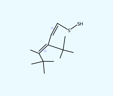 C/C(=C(\C=C/SS)C(C)(C)C)C(C)(C)C